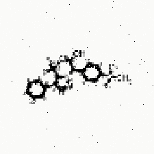 CS(=O)(=O)c1ccc(C(C(=O)O)n2ncc(-c3ccccc3)c2C(F)(F)F)cc1